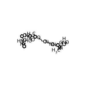 Cc1cc(OCCCC2CCN(CCN3CCN(c4ccc5c(C6CCC(=O)NC6=O)nn(C)c5c4)CC3)CC2)ccc1-c1ccc(N2CCc3cccc(C(=O)Nc4nc5ccccc5s4)c3C2)nc1C(=O)O